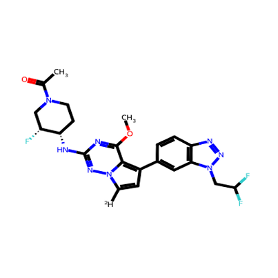 [2H]c1cc(-c2ccc3nnn(CC(F)F)c3c2)c2c(OC)nc(N[C@H]3CCN(C(C)=O)C[C@H]3F)nn12